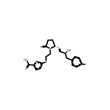 O=C(O)c1ccc(SCCN2C(=O)CC[C@@H]2/C=C/[C@@H](O)Cc2ccc(F)cc2)s1